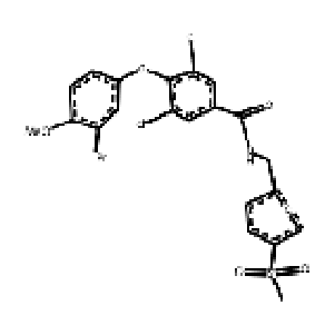 COc1ccc(Oc2c(Cl)cc(C(=O)NCc3ccc(S(C)(=O)=O)cc3)cc2Cl)cc1C(C)C